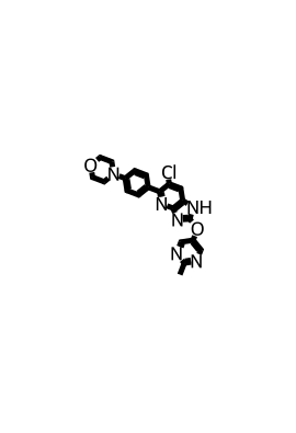 Cc1ncc(Oc2nc3nc(-c4ccc(N5CCOCC5)cc4)c(Cl)cc3[nH]2)cn1